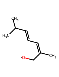 CC(=CC=CC(C)C)C[O]